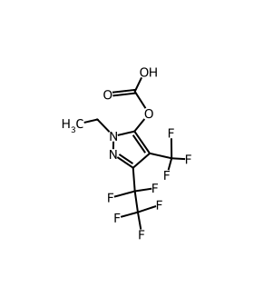 CCn1nc(C(F)(F)C(F)(F)F)c(C(F)(F)F)c1OC(=O)O